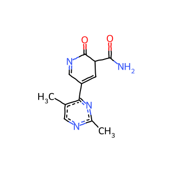 Cc1ncc(C)c(C2=CC(C(N)=O)C(=O)N=C2)n1